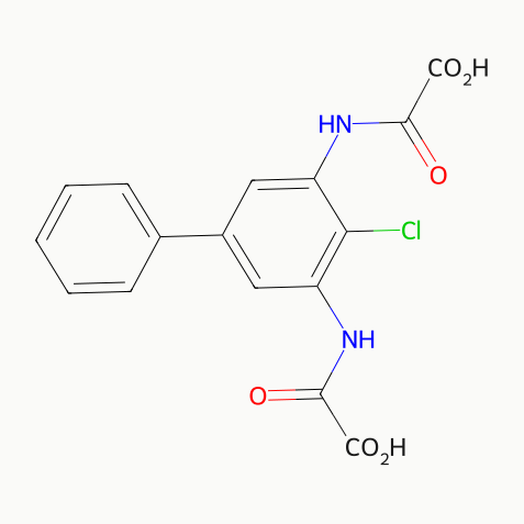 O=C(O)C(=O)Nc1cc(-c2ccccc2)cc(NC(=O)C(=O)O)c1Cl